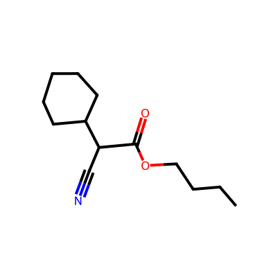 CCCCOC(=O)C(C#N)C1CCCCC1